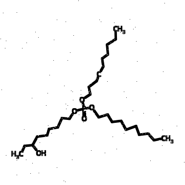 CCCCCCCCCCOP(=O)(OCCCCCCCCCC)OCCCCCCC(O)CC